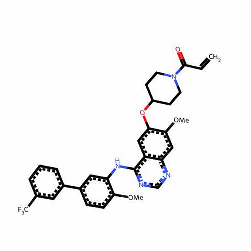 C=CC(=O)N1CCC(Oc2cc3c(Nc4cc(-c5cccc(C(F)(F)F)c5)ccc4OC)ncnc3cc2OC)CC1